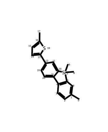 Cc1ccc2c(c1)[Si](C)(C)c1cc(-c3ccc(C)s3)ccc1-2